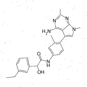 CCc1cccc(C(O)C(=O)Nc2ccc(-c3cn(C)c4nc(C)nc(N)c34)c(C)c2)c1